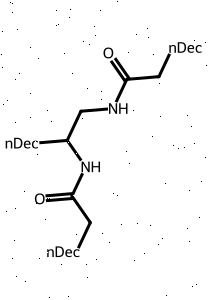 CCCCCCCCCCCC(=O)NCC(CCCCCCCCCC)NC(=O)CCCCCCCCCCC